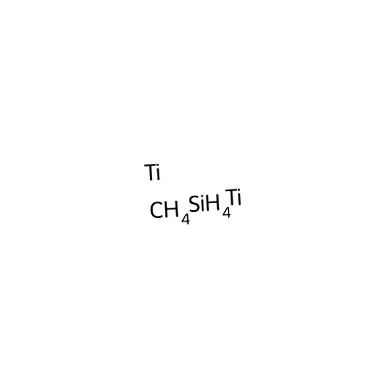 C.[SiH4].[Ti].[Ti]